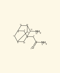 NC(=O)CC12CC3CC(CC(C3)C1N)C2